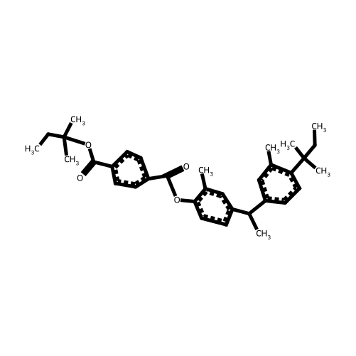 CCC(C)(C)OC(=O)c1ccc(C(=O)Oc2ccc(C(C)c3ccc(C(C)(C)CC)c(C)c3)cc2C)cc1